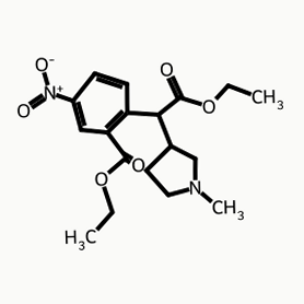 CCOC(=O)c1cc([N+](=O)[O-])ccc1C(C(=O)OCC)C1CCN(C)C1